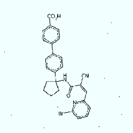 N#CC(=Cc1cccc(Br)n1)C(=O)NC1(c2ccc(-c3ccc(C(=O)O)cc3)cc2)CCCC1